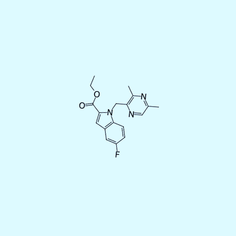 CCOC(=O)c1cc2cc(F)ccc2n1Cc1ncc(C)nc1C